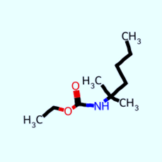 CCCCC(C)(C)NC(=O)OCC